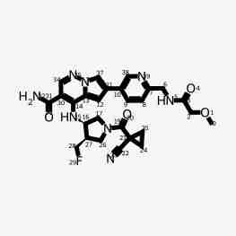 COCC(=O)NCc1ccc(-c2cc3c(N[C@@H]4CN(C(=O)C5(C#N)CC5)C[C@H]4CF)c(C(N)=O)cnn3c2)cn1